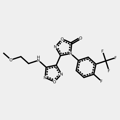 COCCNc1nonc1-c1noc(=O)n1-c1ccc(F)c(C(F)(F)F)c1